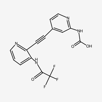 O=C(O)Nc1cc(C#Cc2ncccc2NC(=O)C(F)(F)F)ccn1